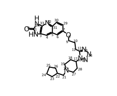 O=c1[nH]c2cc3cc(OCCCc4nnnn4C4CCN(CC5CCCC5)CC4)ccc3nc2[nH]1